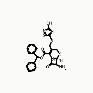 Cc1nsc(SCC2=C(C(=O)OC(c3ccccc3)c3ccccc3)N3C(=O)C(N)[C@@H]3SC2)n1